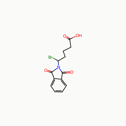 O=C(O)CCCC(Br)N1C(=O)c2ccccc2C1=O